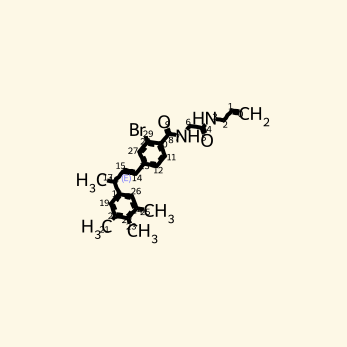 C=CCNC(=O)CNC(=O)c1ccc(/C=C/C(C)c2cc(C)c(C)c(C)c2)cc1Br